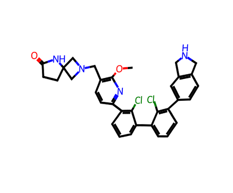 COc1nc(-c2cccc(-c3cccc(-c4ccc5c(c4)CNC5)c3Cl)c2Cl)ccc1CN1CC2(CCC(=O)N2)C1